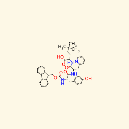 CC(C)(C)CC[C@H](NC(=O)[C@H](Cc1ccccn1)NC(=O)[C@H](Cc1ccc(O)cc1)NC(=O)OCC1c2ccccc2-c2ccccc21)C(=O)O